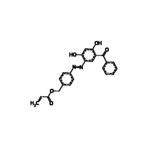 C=CC(=O)OCc1ccc(N=Nc2cc(C(=O)c3ccccc3)c(O)cc2O)cc1